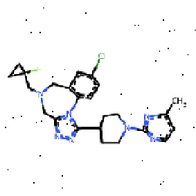 Cc1ccnc(N2CCC(c3nnc4n3-c3ccc(Cl)cc3CN(CC3(F)CC3)C4)CC2)n1